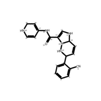 N#Cc1ccccc1C1C=CC2NC=C(C(=O)NC3=CCNC=C3)N2N1